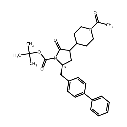 CC(=O)N1CCC(C2C[C@@H](Cc3ccc(-c4ccccc4)cc3)N(C(=O)OC(C)(C)C)C2=O)CC1